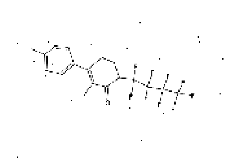 CC1=C(c2ccc(C)cc2)CCC(C(F)(F)C(F)(F)C(F)(F)C(F)(F)F)C1=O